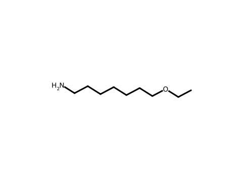 CCOCCCCCCCN